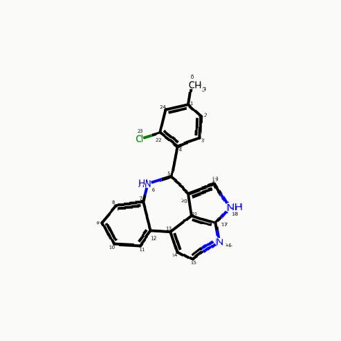 Cc1ccc(C2Nc3ccccc3-c3ccnc4[nH]cc2c34)c(Cl)c1